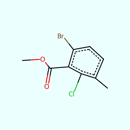 COC(=O)c1c(Br)ccc(C)c1Cl